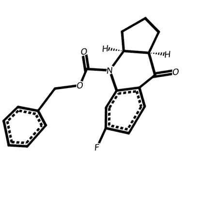 O=C1c2ccc(F)cc2N(C(=O)OCc2ccccc2)[C@H]2CCC[C@@H]12